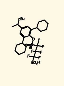 CCCCC(C)c1cc(C2CCCCC2)c(OS(=O)(=O)C(F)(F)C(F)(F)C(F)(F)S(=O)(=O)O)c(C2CCCCC2)c1